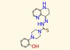 Oc1ccccc1N1CCN(C(=S)N/N=C2/CCNc3cccnc32)CC1